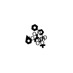 CC(O)C(NC(=O)OC(C)(C)C)C(=O)N1[C@@H](C(=O)O)CC[C@H]1c1ccccc1.c1ccc2c(c1)C2